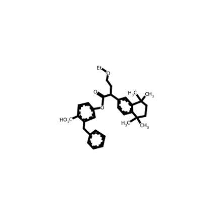 CCOCCC(C(=O)Oc1ccc(C(=O)O)c(Cc2ccccc2)c1)c1ccc2c(c1)C(C)(C)CCC2(C)C